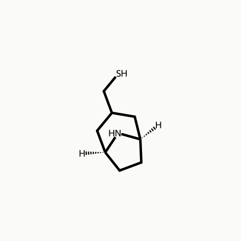 SCC1C[C@H]2CC[C@@H](C1)N2